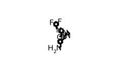 NCc1cccc(CN2C(=O)C3=C(CCN(Cc4cc(F)cc(F)c4)C3)N3CCN=C23)c1